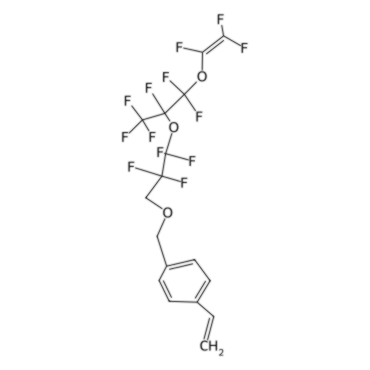 C=Cc1ccc(COCC(F)(F)C(F)(F)OC(F)(C(F)(F)F)C(F)(F)OC(F)=C(F)F)cc1